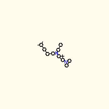 Cc1cc(C)cc(-c2ccc(-c3cccc(-c4ccc(N(c5ccc(-c6ccccc6)cc5)c5ccc6c(c5)C(C)(C)c5cc(-n7c8ccccc8c8ccccc87)ccc5-6)cc4)c3)cc2)c1